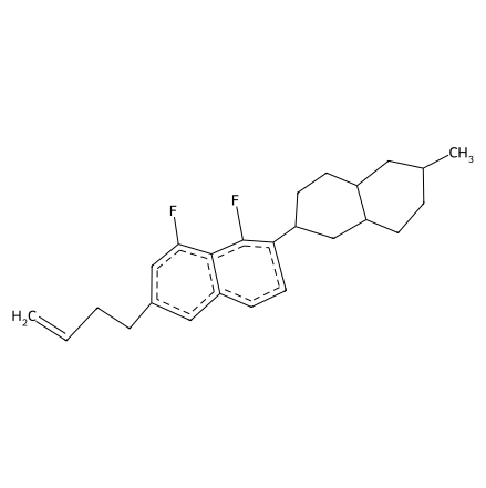 C=CCCc1cc(F)c2c(F)c(C3CCC4CC(C)CCC4C3)ccc2c1